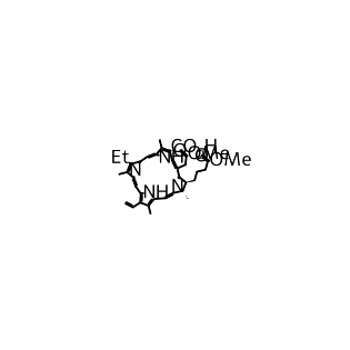 C=Cc1c(C)c2cc3nc(c(CC(=O)OC)c4[nH]c(cc5nc(cc1[nH]2)C(C)=C5CC)c(C)c4C(=O)O)[C@@H](CCCC(=O)OC)[C@@H]3C